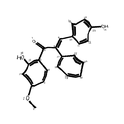 COc1ccc(C(=O)C(=Cc2ccc(O)cc2)c2ccccc2)c(O)c1